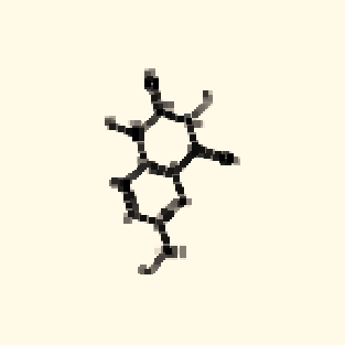 CNc1cnc2c(c1)c(=O)n(C)c(=O)n2C